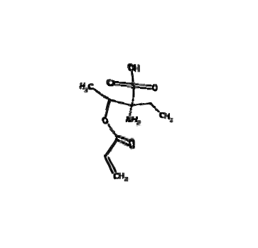 C=CC(=O)OC(C)C(N)(CC)S(=O)(=O)O